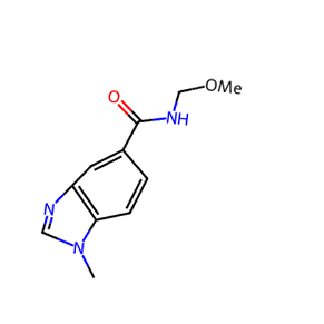 COCNC(=O)c1ccc2c(c1)ncn2C